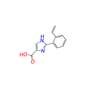 C=Cc1ccccc1-c1nc(C(=O)O)c[nH]1